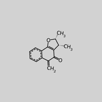 C=C1C(=O)C2=C(O[C@H](C)[C@@H]2C)c2ccccc21